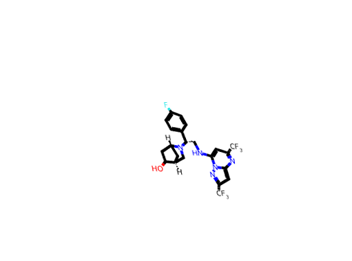 OC1C[C@H]2C[C@H]1CN2[C@@H](CNc1cc(C(F)(F)F)nc2cc(C(F)(F)F)nn12)c1ccc(F)cc1